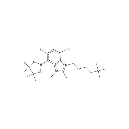 Cc1c(C)n(COCC[Si](C)(C)C)c2c(C#N)cc(F)c(B3OC(C)(C)C(C)(C)O3)c12